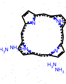 C1=Cc2cc3ccc(cc4nc(cc5ccc(cc1n2)[nH]5)C=C4)[nH]3.N.N.N.N